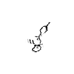 CC1=CC[C@H]([C@H](C)C[C@H]2CCC[C@H]2O)CC1